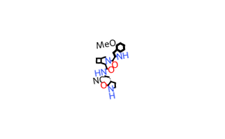 COc1cccc2[nH]c(C(=O)N3CC4CCC4C3C(=O)NC(C#N)C[C@@H]3CCNC3=O)cc12